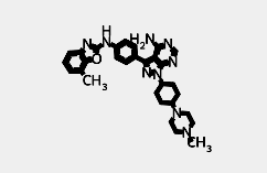 Cc1cccc2nc(Nc3ccc(-c4nn(C5CCC(N6CCN(C)CC6)CC5)c5ncnc(N)c45)cc3)oc12